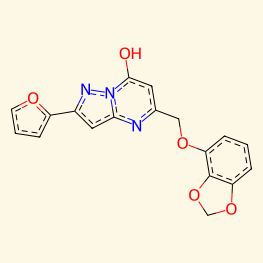 Oc1cc(COc2cccc3c2OCO3)nc2cc(-c3ccco3)nn12